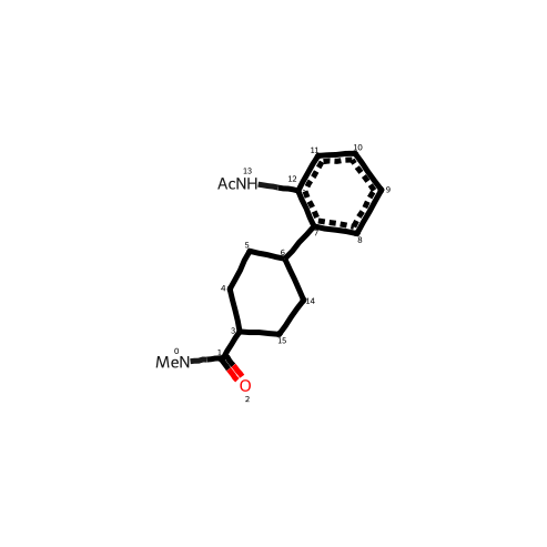 CNC(=O)C1CCC(c2ccccc2NC(C)=O)CC1